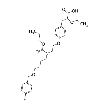 CCCOC(=O)N(CCCCOCc1ccc(F)cc1)CCOc1ccc(CC(OCC)C(=O)O)cc1